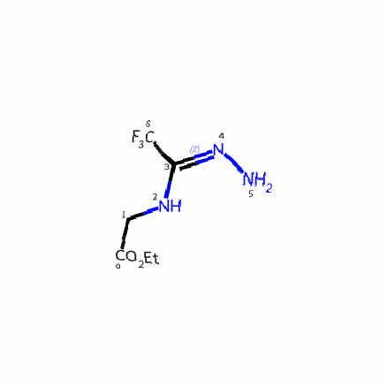 CCOC(=O)CN/C(=N\N)C(F)(F)F